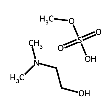 CN(C)CCO.COS(=O)(=O)O